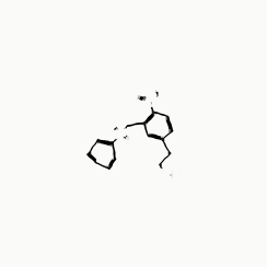 O=[N+]([O-])c1ccc(CCO)cc1CS(=O)(=O)c1ccccc1